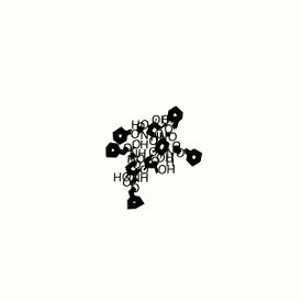 O=C(NC[C@H]1C[C@H](O)[C@@H](NC(=O)OCc2ccccc2)[C@@H](O[C@H]2[C@@H](O)[C@H](O[C@@H]3[C@@H](O)[C@H](NC(=O)OCc4ccccc4)C[C@H](NC(=O)OCc4ccccc4)[C@H]3O[C@H]3O[C@H](CO)[C@@H](O)[C@H](O)[C@H]3NC(=O)OCc3ccccc3)O[C@@H]2CO)O1)OCc1ccccc1